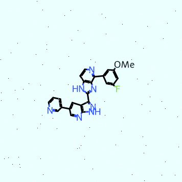 COc1cc(F)cc(-c2nccc3[nH]c(-c4n[nH]c5ncc(-c6cccnc6)cc45)nc23)c1